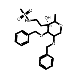 CC1OCC(OCc2ccccc2)C(OCc2ccccc2)[C@@]1(O)CCNS(C)(=O)=O